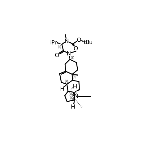 CC(C)[C@H](C(=O)N(C)[C@H]1CC[C@@]2(C)C(=CC[C@@H]3C2CC[C@]24CN(C)[C@@H](C)[C@H]2CC[C@@H]34)C1)N(C)C(=O)OC(C)(C)C